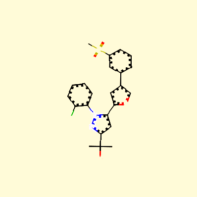 CC(C)(O)c1cc(-c2cc(-c3cccc(S(C)(=O)=O)c3)co2)n(-c2ccccc2Cl)n1